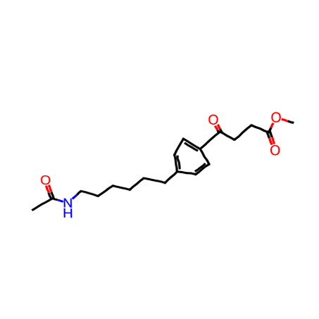 COC(=O)CCC(=O)c1ccc(CCCCCCNC(C)=O)cc1